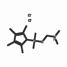 CC1=C(C)[CH]([Ti]([CH3])([CH3])[O]C[SiH](C)C)C(C)=C1C.[Cl-].[Cl-]